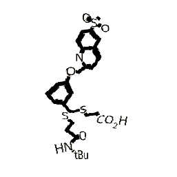 CC(C)(C)NC(=O)CCSC(SCCC(=O)O)c1cccc(OCc2ccc3cc(S(C)(=O)=O)ccc3n2)c1